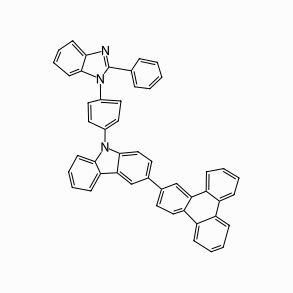 c1ccc(-c2nc3ccccc3n2-c2ccc(-n3c4ccccc4c4cc(-c5ccc6c7ccccc7c7ccccc7c6c5)ccc43)cc2)cc1